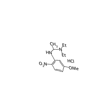 CCN(CC)C(C)Nc1cc(OC)ccc1[N+](=O)[O-].Cl